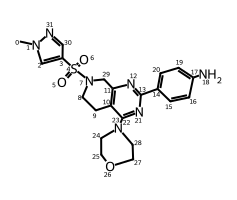 Cn1cc(S(=O)(=O)N2CCc3c(nc(-c4ccc(N)cc4)nc3N3CCOCC3)C2)cn1